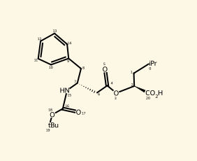 CC(C)C[C@H](OC(=O)C[C@@H](Cc1ccccc1)NC(=O)OC(C)(C)C)C(=O)O